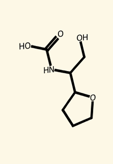 O=C(O)NC(CO)C1CCCO1